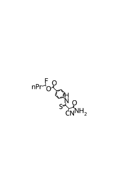 CCCC(F)OC(=O)c1ccc(NC(=S)C(C#N)C(N)=O)cc1